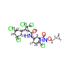 O=C(NOCC1CC1)c1cc(NC(=O)C2C(c3cc(Cl)cc(Cl)c3)C2(Cl)Cl)ccc1Cl